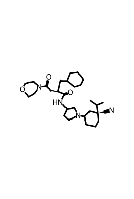 CC(C)[C@]1(C#N)CCCC(N2CCC(NC(=O)[C@@H](CC(=O)N3CCOCC3)CC3CCCCC3)C2)C1